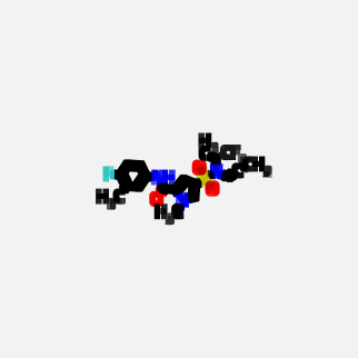 C=C=CN([C@H](C)C(F)(F)F)S(=O)(=O)c1cc(C(=O)Nc2ccc(F)c(C)c2)n(C)c1